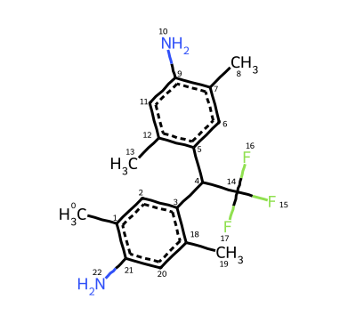 Cc1cc(C(c2cc(C)c(N)cc2C)C(F)(F)F)c(C)cc1N